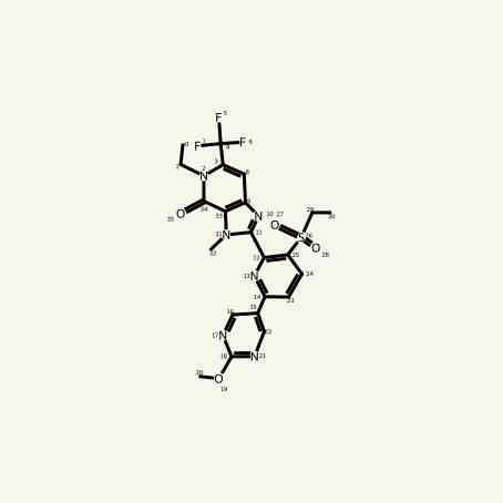 CCn1c(C(F)(F)F)cc2nc(-c3nc(-c4cnc(OC)nc4)ccc3S(=O)(=O)CC)n(C)c2c1=O